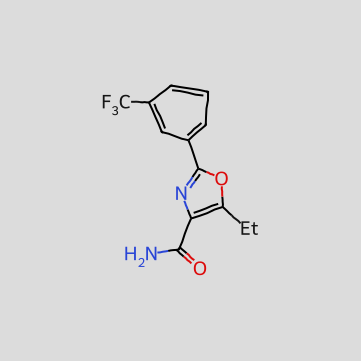 CCc1oc(-c2cccc(C(F)(F)F)c2)nc1C(N)=O